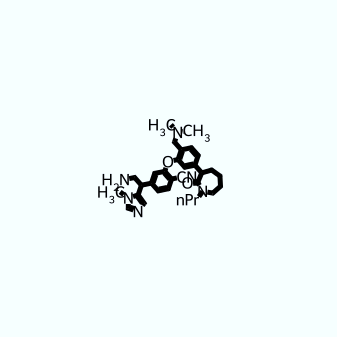 CCCN1CCCCC(c2ccc(CN(C)C)c(Oc3cc(C(CN)c4cncn4C)ccc3C#N)c2)C1=O